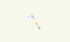 CC(C)CNCCOCCOCCC(C)(C)C